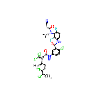 C=C(/C=C\C(Cl)=C(/C)Cl)[C@H]1[C@H](C(=O)Nc2ccc(Cl)c(C(=O)Nc3ccc(F)c(N(C)C(=O)CC#N)c3F)c2)C1(Cl)Cl